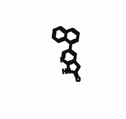 O=C1Cc2cc(-c3cccc4ccccc34)cnc2N1